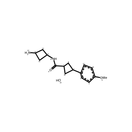 COc1ccc(C2CC(C(=O)NC3CC(N)C3)C2)cc1.Cl